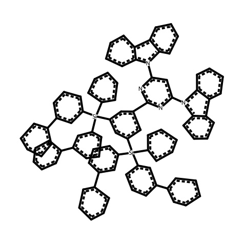 c1ccc(-c2cccc([Si](c3ccccc3)(c3cccc(-c4ccccc4)c3)c3cc(-c4nc(-n5c6ccccc6c6ccccc65)cc(-n5c6ccccc6c6ccccc65)n4)cc([Si](c4ccccc4)(c4cccc(-c5ccccc5)c4)c4cccc(-c5ccccc5)c4)c3)c2)cc1